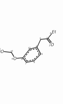 CCC(=O)Cc1cccc(OCO)c1